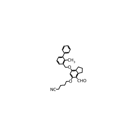 Cc1c(COc2cc(OCCCCC#N)c(C=O)c3c2CCC3)cccc1-c1ccccc1